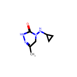 CC1=NNC(=O)N(NC2CC2)C1